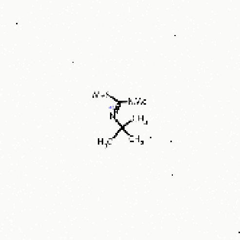 CN/C(=N\C(C)(C)C)SC